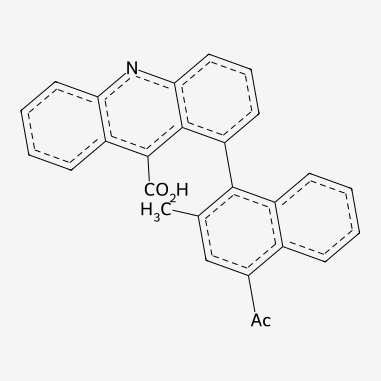 CC(=O)c1cc(C)c(-c2cccc3nc4ccccc4c(C(=O)O)c23)c2ccccc12